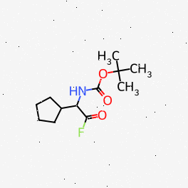 CC(C)(C)OC(=O)NC(C(=O)F)C1CCCC1